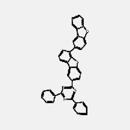 c1ccc(-c2nc(-c3ccccc3)nc(-c3ccc4sc5c(-c6ccc7oc8ccccc8c7c6)cccc5c4c3)n2)cc1